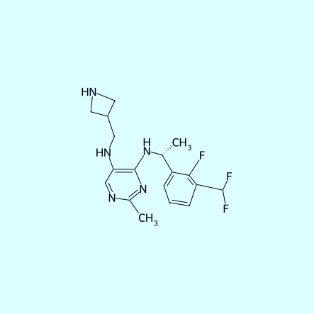 Cc1ncc(NCC2CNC2)c(N[C@H](C)c2cccc(C(F)F)c2F)n1